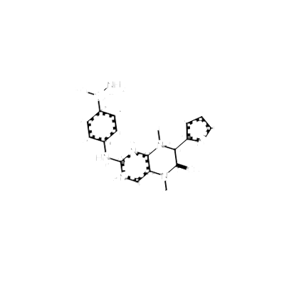 CN1C(=O)C(c2cccs2)N(C)c2nc(Nc3ccc([S+](N)[O-])cc3)ncc21